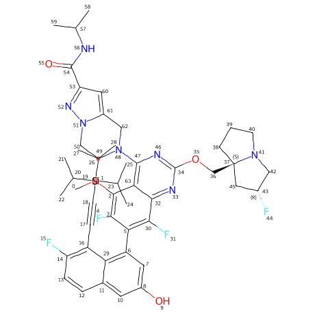 COc1c(F)c(-c2cc(O)cc3ccc(F)c(C#C[Si](C(C)C)(C(C)C)C(C)C)c23)c(F)c2nc(OC[C@@]34CCCN3C[C@H](F)C4)nc(N3CCn4nc(C(=O)NC(C)C)cc4C3)c12